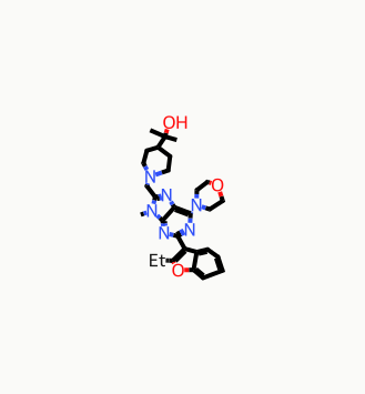 CCc1oc2ccccc2c1-c1nc(N2CCOCC2)c2nc(CN3CCC(C(C)(C)O)CC3)n(C)c2n1